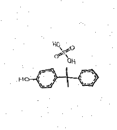 CC(C)(c1ccccc1)c1ccc(O)cc1.O=S(=O)(O)O